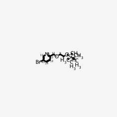 CC(C)(C)[Si](C)(C)OCCOCc1ccc(Br)cn1